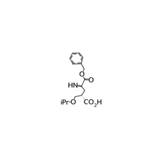 CC(C)OC[C@H](CC(=N)C(=O)OCc1ccccc1)C(=O)O